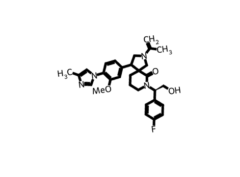 C=C(C)N1CC(c2ccc(-n3cnc(C)c3)c(OC)c2)C2(CCCN([C@@H](CO)c3ccc(F)cc3)C2=O)C1